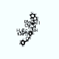 CO[C@]1(Nc2nc(Cl)nc(N[C@@H]3C[C@@H](COCc4ccccc4)[C@@H](O[Si](C)(C)C(C)(C)C)C3)n2)CCc2ccccc21